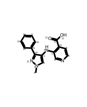 Cn1cc(Nc2cnccc2C(=O)O)c(-c2ccccc2)n1